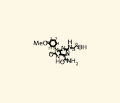 COc1cccc(-n2c(=O)[nH]c3c(C(N)=O)nc(NCCO)nc32)c1